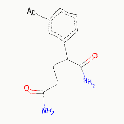 CC(=O)c1cccc(C(CCC(N)=O)C(N)=O)c1